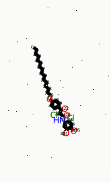 CCCCCCCCCCCCCCCCOc1ccc(C(=O)C(Cl)C(=O)Nc2cc(OC)c(OC)cc2Cl)cc1